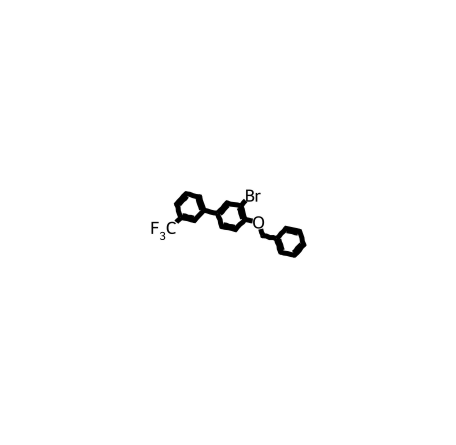 FC(F)(F)c1cccc(-c2ccc(OCc3ccccc3)c(Br)c2)c1